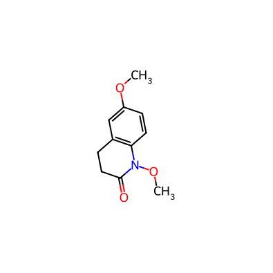 COc1ccc2c(c1)CCC(=O)N2OC